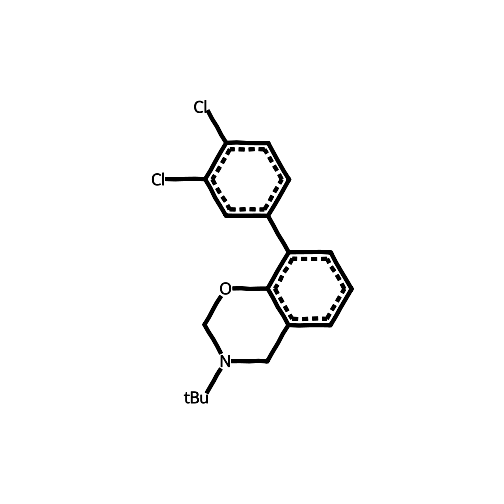 CC(C)(C)N1COc2c(cccc2-c2ccc(Cl)c(Cl)c2)C1